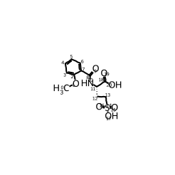 COc1ccccc1C(=O)N[C@@H](CCS(=O)(=O)O)C(=O)O